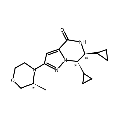 C[C@@H]1COCCN1c1cc2n(n1)[C@@H](C1CC1)[C@H](C1CC1)NC2=O